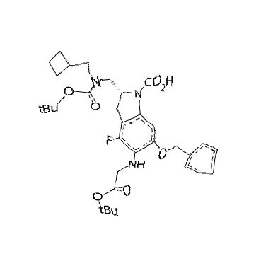 CC(C)(C)OC(=O)CNc1c(OCc2ccccc2)cc2c(c1F)C[C@H](CN(CC1CCC1)C(=O)OC(C)(C)C)N2C(=O)O